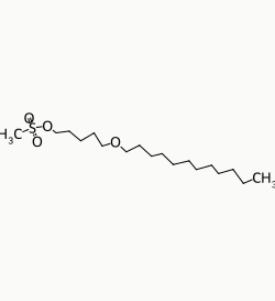 CCCCCCCCCCCCOCCCCCOS(C)(=O)=O